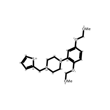 COCOc1ccc(OCOC)c(N2CCN(Cc3cccs3)CC2)c1